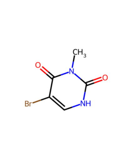 Cn1c(=O)[nH]cc(Br)c1=O